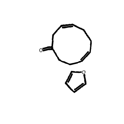 O=C1CC=CCCC=CCC1.c1ccoc1